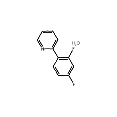 Fc1ccc(-c2ccccn2)c(F)c1.O